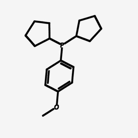 COc1ccc(P(C2CCCC2)C2CCCC2)cc1